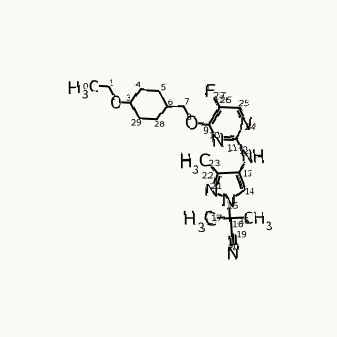 CCOC1CCC(COc2nc(Nc3cn(C(C)(C)C#N)nc3C)ncc2F)CC1